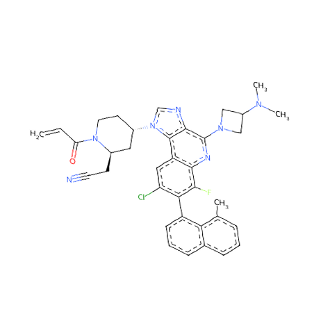 C=CC(=O)N1CC[C@H](n2cnc3c(N4CC(N(C)C)C4)nc4c(F)c(-c5cccc6cccc(C)c56)c(Cl)cc4c32)C[C@H]1CC#N